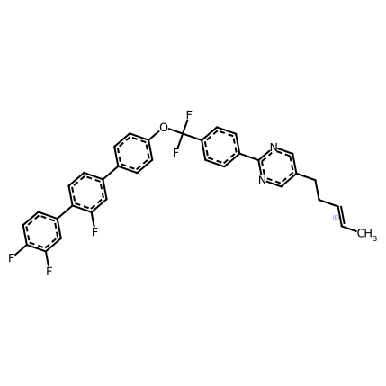 C/C=C/CCc1cnc(-c2ccc(C(F)(F)Oc3ccc(-c4ccc(-c5ccc(F)c(F)c5)c(F)c4)cc3)cc2)nc1